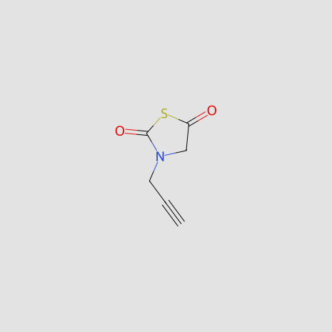 C#CCN1CC(=O)SC1=O